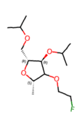 CC(C)OC[C@H]1O[C@@H](C)C(OCCF)[C@@H]1OC(C)C